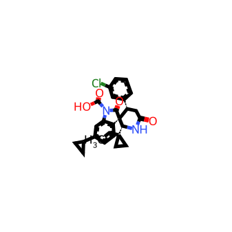 CCC1([C@H]2NC(=O)C[C@@H](c3cccc(Cl)c3)[C@]23C(=O)N(C(=O)O)c2cc(C4CC4)ccc23)CC1